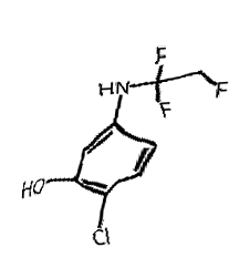 Oc1cc(NC(F)(F)CF)ccc1Cl